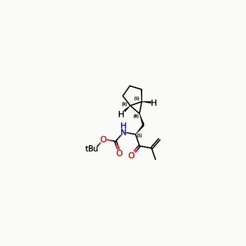 C=C(C)C(=O)[C@H](C[C@H]1[C@@H]2CCC[C@@H]21)NC(=O)OC(C)(C)C